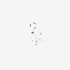 Cc1ccc([C@H](C)C(=O)N2[C@H]3C[C@@H]4CC[C@@]3(CS2(=O)=O)C4(C)C)c(Br)c1